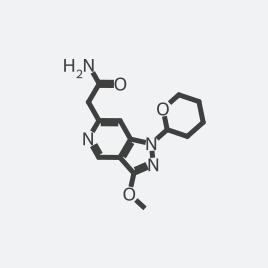 COc1nn(C2CCCCO2)c2cc(CC(N)=O)ncc12